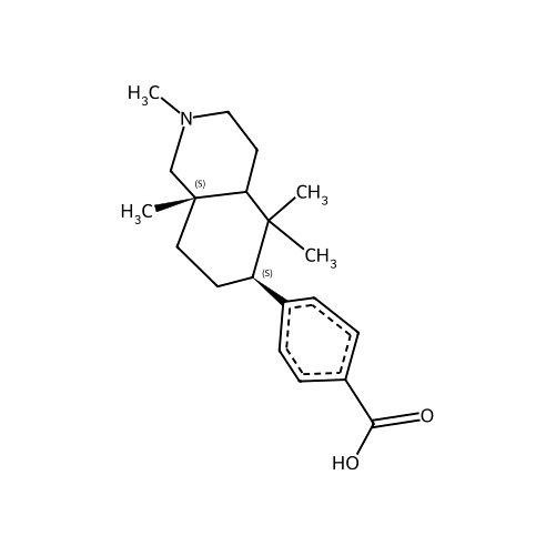 CN1CCC2C(C)(C)[C@@H](c3ccc(C(=O)O)cc3)CC[C@]2(C)C1